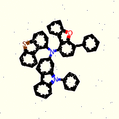 c1ccc(-c2ccc(N(c3ccc4c5ccccc5n(-c5ccccc5)c4c3)c3cccc4sc5ccccc5c34)c3c2oc2ccccc23)cc1